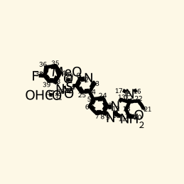 COc1ncc(-c2ccc3nc(N)n(CC4(N(C)C)CCOCC4)c3c2)cc1S(=O)(=O)N(OC=O)c1cccc(F)c1